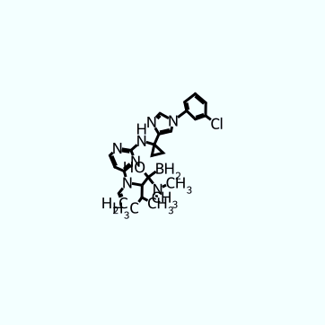 BC(O)(C(C(C)C)N(C=C)c1ccnc(NC2(c3cn(-c4cccc(Cl)c4)cn3)CC2)n1)N(C)C